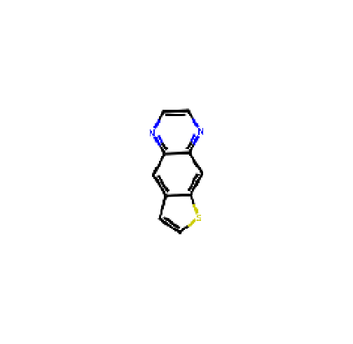 c1cnc2cc3sccc3cc2n1